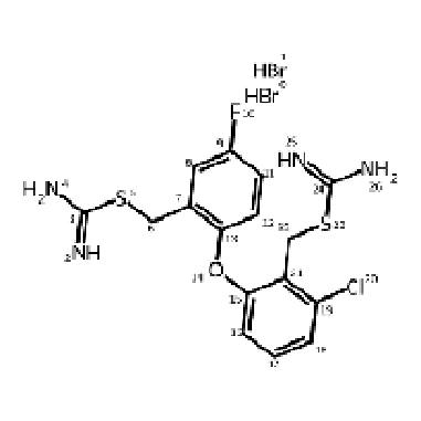 Br.Br.N=C(N)SCc1cc(F)ccc1Oc1cccc(Cl)c1CSC(=N)N